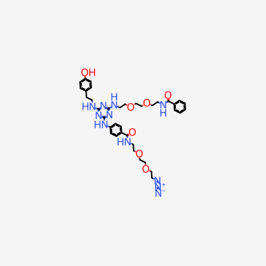 [N-]=[N+]=NCCOCCOCCNC(=O)c1ccc(Nc2nc(NCCOCCOCCNC(=O)c3ccccc3)nc(NCCc3ccc(O)cc3)n2)cc1